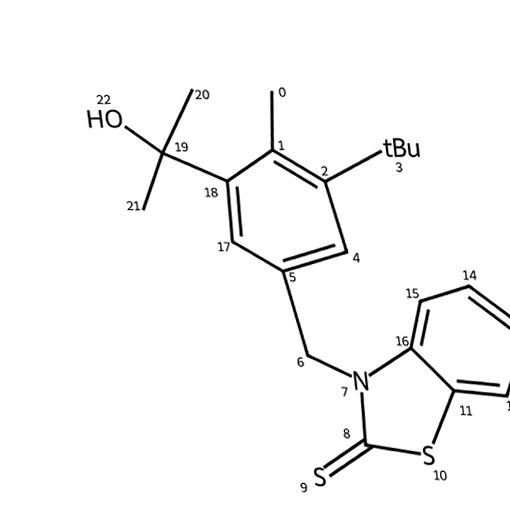 Cc1c(C(C)(C)C)cc(Cn2c(=S)sc3ccccc32)cc1C(C)(C)O